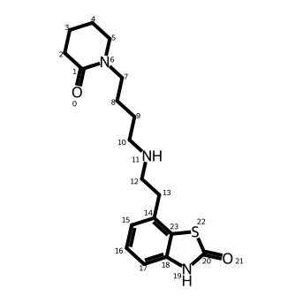 O=C1CCCCN1CCCCNCCc1cccc2[nH]c(=O)sc12